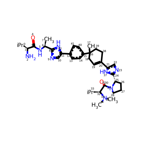 CC(C)[C@H](N)C(=O)N[C@@H](C)c1ncc(-c2ccc(C3(C)CC=C(c4cnc([C@@H]5CCCN5C(=O)[C@H](C(C)C)N(C)C)[nH]4)CC3)cc2)[nH]1